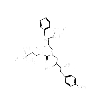 C[Si](C)(C)CCOC(=O)N(CC(O)[C@@H](N)Cc1ccc(O)cc1)C[C@@H](O)[C@H](Cc1ccccc1)NC(=O)O